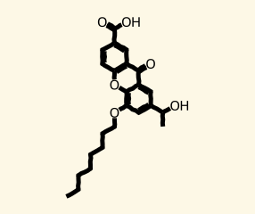 CCCCCCCCOc1cc(C(C)O)cc2c(=O)c3cc(C(=O)O)ccc3oc12